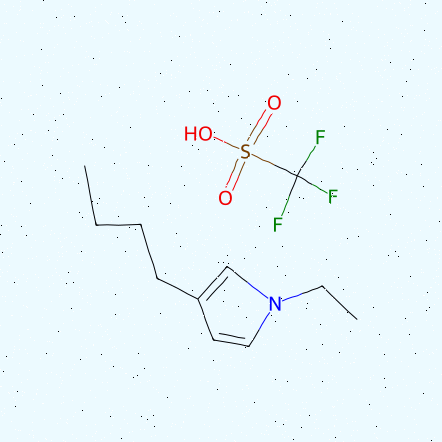 CCCCc1ccn(CC)c1.O=S(=O)(O)C(F)(F)F